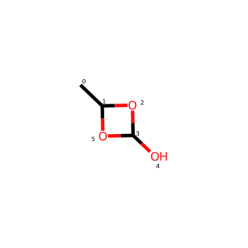 CC1OC(O)O1